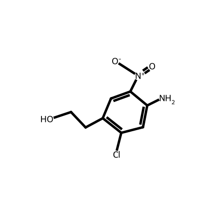 Nc1cc(Cl)c(CCO)cc1[N+](=O)[O-]